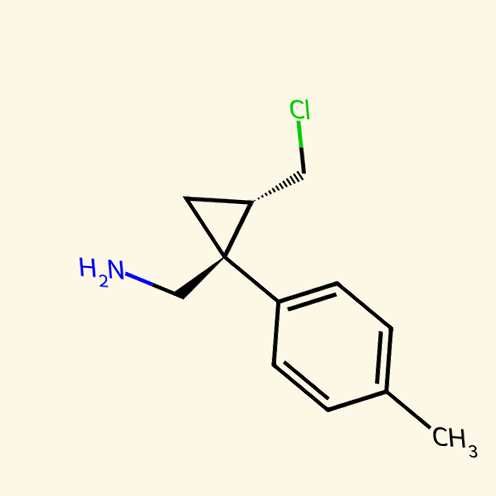 Cc1ccc([C@]2(CN)C[C@@H]2CCl)cc1